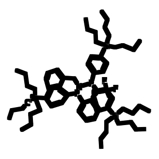 CCCC[Si](CCCC)(CCCC)c1ccc(P(c2ccc([Si](CCCC)(CCCC)CCCC)cc2)N(Cc2ccccc2)P(c2ccc([Si](CCCC)(CCCC)CCCC)cc2)c2ccccc2OC(F)(F)F)cc1